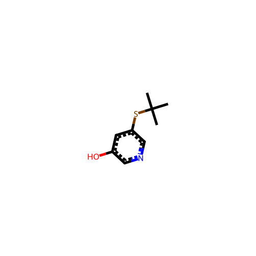 CC(C)(C)Sc1cncc(O)c1